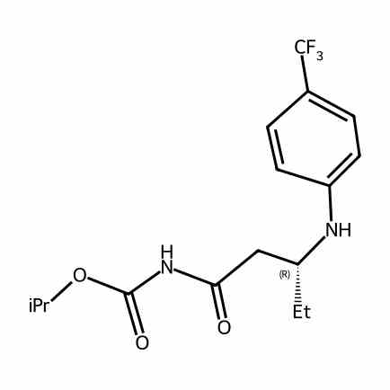 CC[C@H](CC(=O)NC(=O)OC(C)C)Nc1ccc(C(F)(F)F)cc1